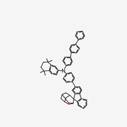 CC1(C)CCC(C)(C)c2cc(N(c3ccc(-c4ccc(-c5ccccc5)cc4)cc3)c3ccc(-c4ccc5c(c4)C4(c6ccccc6-5)C5CC6CC(C5)CC4C6)cc3)ccc21